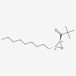 CCCCCCCCC[C@H]1O[C@@H]1C(=O)C(C)(C)C